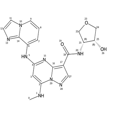 CNc1cc(Nc2cccn3ccnc23)nc2c(C(=O)N[C@@H]3COC[C@@H]3O)cnn12